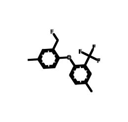 Cc1ccc(Oc2ccc(C)cc2C(F)(F)F)c(CF)c1